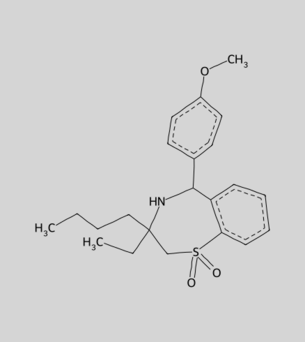 CCCCC1(CC)CS(=O)(=O)c2ccccc2C(c2ccc(OC)cc2)N1